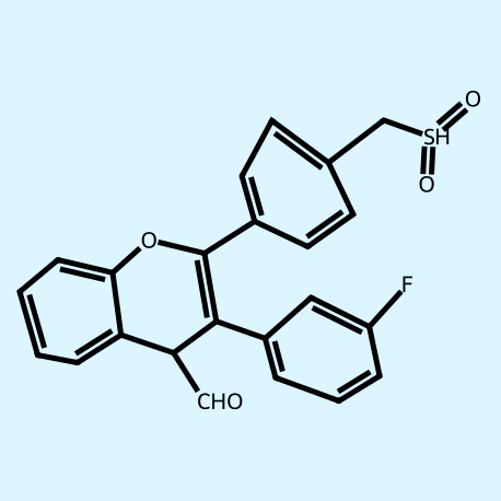 O=CC1C(c2cccc(F)c2)=C(c2ccc(C[SH](=O)=O)cc2)Oc2ccccc21